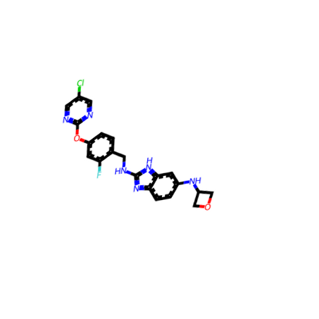 Fc1cc(Oc2ncc(Cl)cn2)ccc1CNc1nc2ccc(NC3COC3)cc2[nH]1